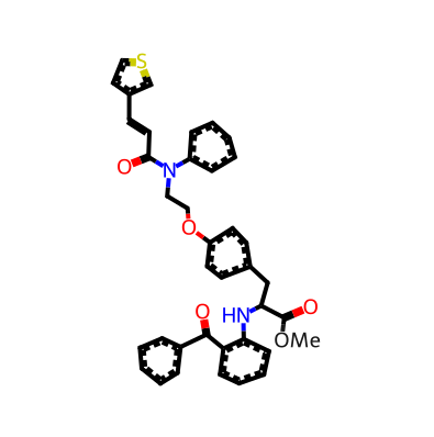 COC(=O)C(Cc1ccc(OCCN(C(=O)C=Cc2ccsc2)c2ccccc2)cc1)Nc1ccccc1C(=O)c1ccccc1